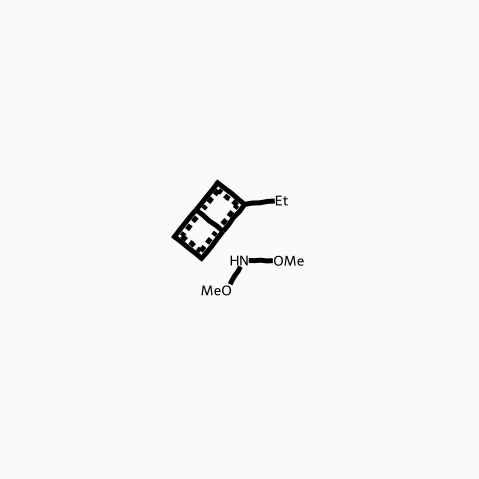 CCc1cc2ccc1-2.CONOC